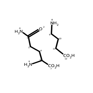 NC(=O)CCC(N)C(=O)O.NCCCC(=O)O